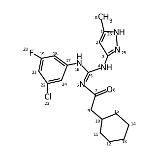 Cc1cc(N/C(=N\C(=O)CC2CCCCC2)Nc2cc(F)cc(Cl)c2)n[nH]1